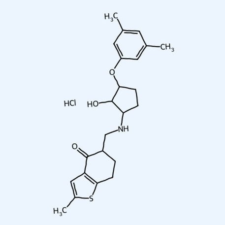 Cc1cc(C)cc(OC2CCC(NCC3CCc4sc(C)cc4C3=O)C2O)c1.Cl